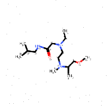 CCN(CCN(C)C(C)COC)CC(=O)NCC(C)C